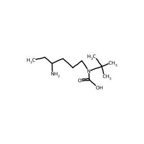 CCC(N)CCCN(C(=O)O)C(C)(C)C